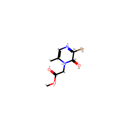 COC(=O)Cn1c(C)cnc(Br)c1=O